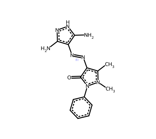 Cc1c(/N=N/c2c(N)n[nH]c2N)c(=O)n(-c2ccccc2)n1C